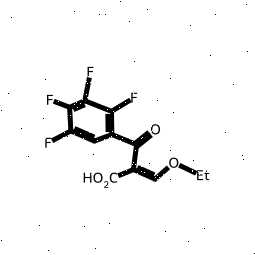 CCO/C=C(/C(=O)O)C(=O)c1cc(F)c(F)c(F)c1F